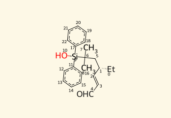 CC[C@H](/C=C/C=O)CC(C)(C)[Si](O)(c1ccccc1)c1ccccc1